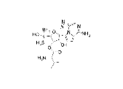 BC(B)(O)C1O[C@@](C#N)(c2ccc3c(N)ncnn23)[C@H](O)[C@@H]1OC(=O)[C@@H](N)C(C)C